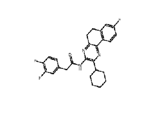 O=C(Cc1ccc(F)c(F)c1)Nc1nc2c(nc1C1CCCCC1)-c1ccc(F)cc1CC2